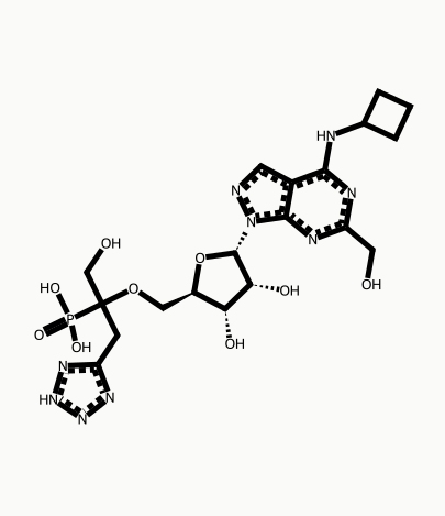 O=P(O)(O)C(CO)(Cc1nn[nH]n1)OC[C@H]1O[C@H](n2ncc3c(NC4CCC4)nc(CO)nc32)[C@H](O)[C@@H]1O